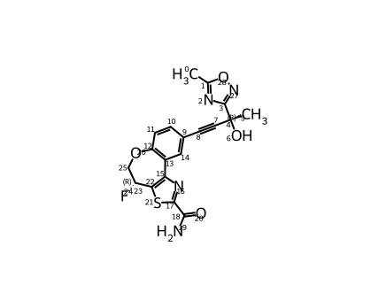 Cc1nc([C@](C)(O)C#Cc2ccc3c(c2)-c2nc(C(N)=O)sc2[C@H](F)CO3)no1